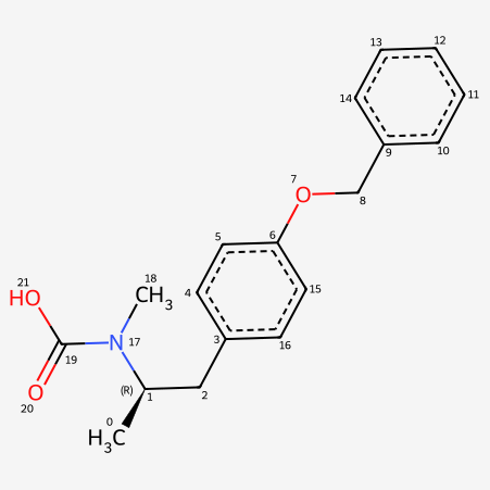 C[C@H](Cc1ccc(OCc2ccccc2)cc1)N(C)C(=O)O